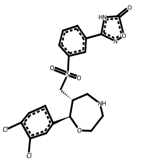 O=c1[nH]c(-c2cccc(S(=O)(=O)C[C@@H]3CNCCO[C@H]3c3ccc(Cl)c(Cl)c3)c2)no1